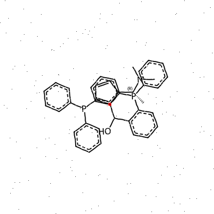 C[C@H](C1C=CC(P(c2ccccc2)c2ccccc2)=C1C(O)c1ccccc1P(c1ccccc1)c1ccccc1)N(C)C